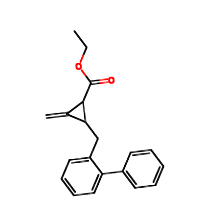 C=C1C(Cc2ccccc2-c2ccccc2)C1C(=O)OCC